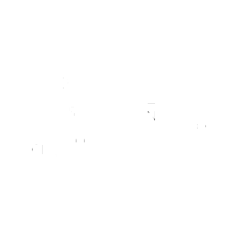 CCS(=O)(=O)CCNC=O